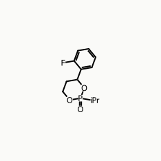 CC(C)P1(=O)OCCC(c2ccccc2F)O1